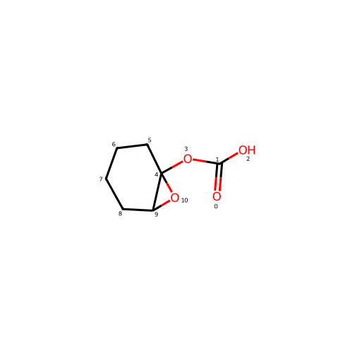 O=C(O)OC12CCCCC1O2